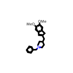 COc1cc2c(cc1OC)CC(CC1CCN(Cc3ccccc3)CC1)=C2